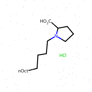 CCCCCCCCCCCCN1CCCC1C(=O)O.Cl